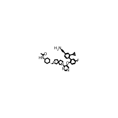 CC(=O)N[C@H]1CC[C@H](CN2CCC3(CCN(c4ncncc4Oc4ccc(F)cc4-c4ccc(C#CN)cc4C4CC4)C3)C2)CC1